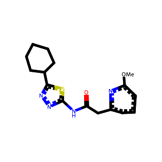 COc1cccc(CC(=O)Nc2nnc(C3CCCCC3)s2)n1